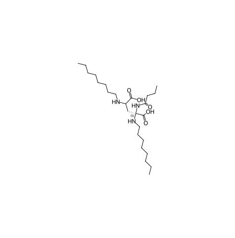 CCCCCCCCNC(C[C@](NCCCCCCCC)(NC(=O)CCC)C(=O)O)C(=O)O